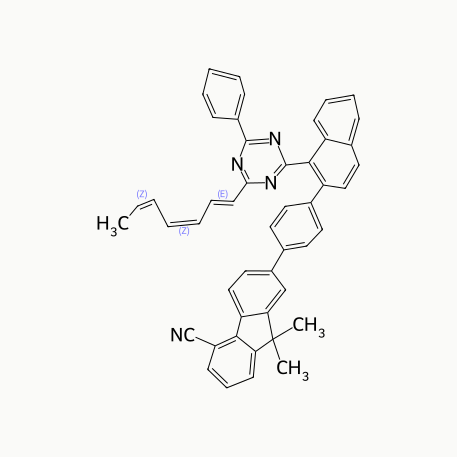 C\C=C/C=C\C=C\c1nc(-c2ccccc2)nc(-c2c(-c3ccc(-c4ccc5c(c4)C(C)(C)c4cccc(C#N)c4-5)cc3)ccc3ccccc23)n1